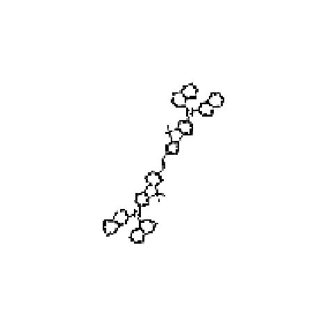 CC1(C)c2cc(/C=C/c3ccc4c(c3)C(C)(C)c3cc(N(c5ccc6ccccc6c5)c5cccc6ccccc56)ccc3-4)ccc2-c2ccc(N(c3ccc4ccccc4c3)c3cccc4ccccc34)cc21